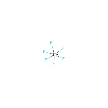 [F][Ce]([F])([F])([F])([F])[F]